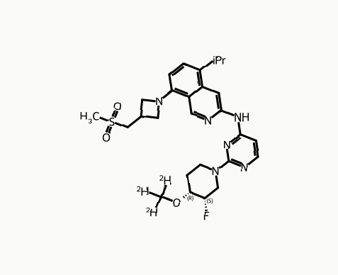 [2H]C([2H])([2H])O[C@@H]1CCN(c2nccc(Nc3cc4c(C(C)C)ccc(N5CC(CS(C)(=O)=O)C5)c4cn3)n2)C[C@@H]1F